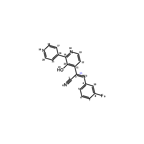 N#C/C(=N\c1cccc(F)c1)c1ccnc(-c2ccncc2)c1O